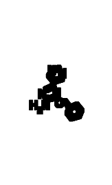 Nc1ncc(-c2cncnc2)nc1OCc1ccccc1